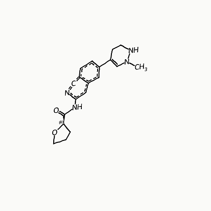 CN1C=C(c2ccc3cnc(NC(=O)[C@H]4CCCO4)cc3c2)CCN1